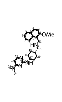 COc1ccc2ccccc2c1CNC[C@H]1CC[C@@H](Nc2nccc(N(C)C)n2)CC1